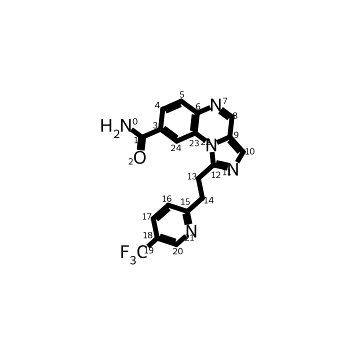 NC(=O)c1ccc2ncc3cnc(CCc4ccc(C(F)(F)F)cn4)n3c2c1